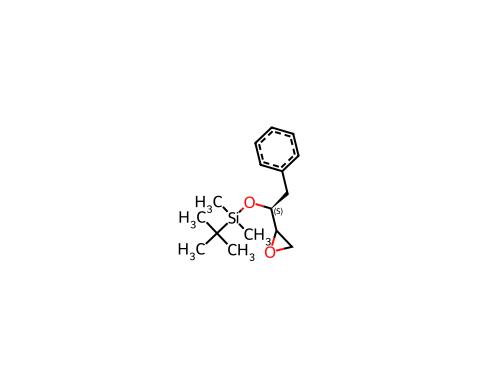 CC(C)(C)[Si](C)(C)O[C@@H](Cc1ccccc1)C1CO1